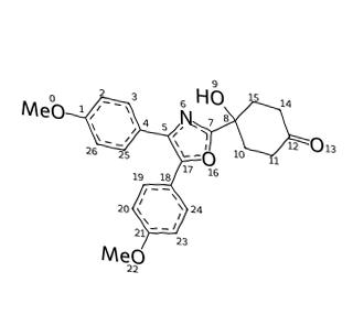 COc1ccc(-c2nc(C3(O)CCC(=O)CC3)oc2-c2ccc(OC)cc2)cc1